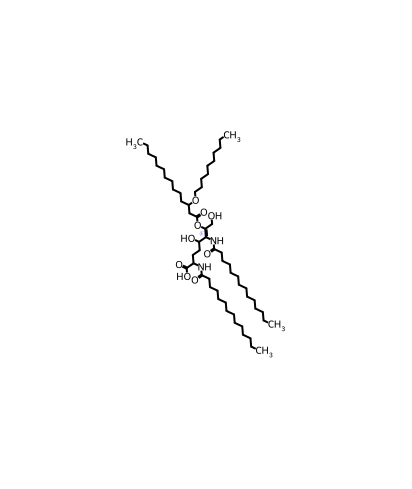 CCCCCCCCCCCCCC(=O)N/C(=C(\CO)OC(=O)CC(CCCCCCCCCCC)OCCCCCCCCCC)C(O)CCC(NC(=O)CCCCCCCCCCCCC)C(=O)O